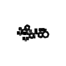 COc1c(Nc2cc(N[C@H]3C(C(N)=O)C4C=C[C@H]3C4)c(N)cn2)ccc2c1CCCCC2